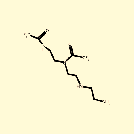 NCCNCCN(CCNC(=O)C(F)(F)F)C(=O)C(F)(F)F